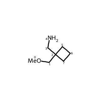 COCC1(CN)CCC1